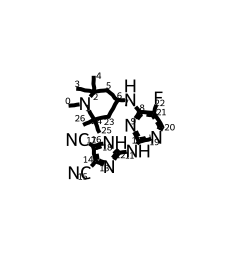 CN1C(C)(C)CC(Nc2nc(Nc3nc(C#N)c(C#N)[nH]3)ncc2F)CC1(C)C